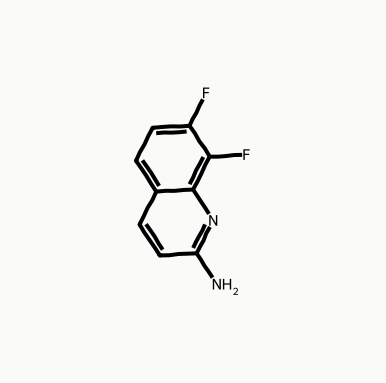 Nc1ccc2ccc(F)c(F)c2n1